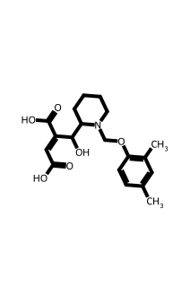 Cc1ccc(OCN2CCCCC2C(O)/C(=C\C(=O)O)C(=O)O)c(C)c1